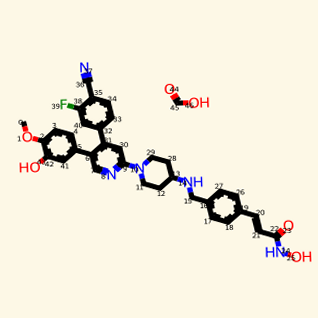 COc1ccc(-c2cnc(N3CCC(NCc4ccc(/C=C/C(=O)NO)cc4)CC3)cc2-c2ccc(C#N)c(F)c2)cc1O.O=CO